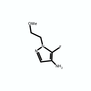 COCCn1ncc(N)c1F